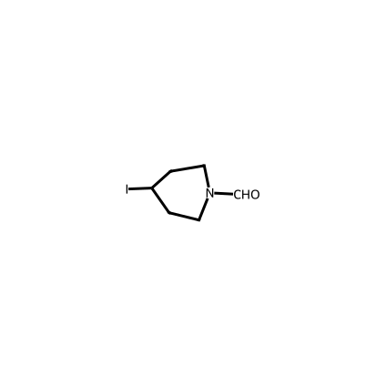 O=CN1CCC(I)CC1